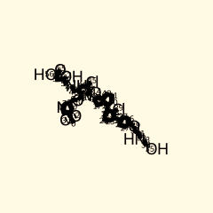 CS(=O)(=O)c1cncc(COc2nc(O[C@H]3CCc4c(-c5cccc(-c6ccc(OCCNCCO)cc6)c5Cl)cccc43)c(Cl)cc2CNCC(O)CC(=O)O)c1